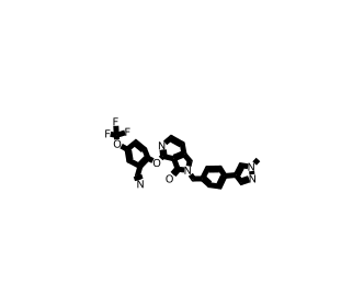 Cn1cc(-c2ccc(CN3Cc4ccnc(Oc5ccc(OC(F)(F)F)cc5C#N)c4C3=O)cc2)cn1